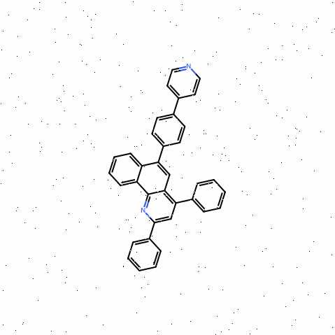 c1ccc(-c2cc(-c3ccccc3)c3cc(-c4ccc(-c5ccncc5)cc4)c4ccccc4c3n2)cc1